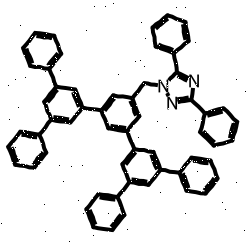 c1ccc(-c2cc(-c3ccccc3)cc(-c3cc(Cn4nc(-c5ccccc5)nc4-c4ccccc4)cc(-c4cc(-c5ccccc5)cc(-c5ccccc5)c4)c3)c2)cc1